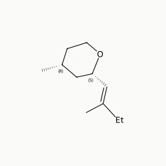 CCC(C)=C[C@@H]1C[C@H](C)CCO1